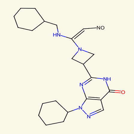 O=N/C=C(/NCC1CCCCC1)N1CC(c2nc3c(cnn3C3CCCCC3)c(=O)[nH]2)C1